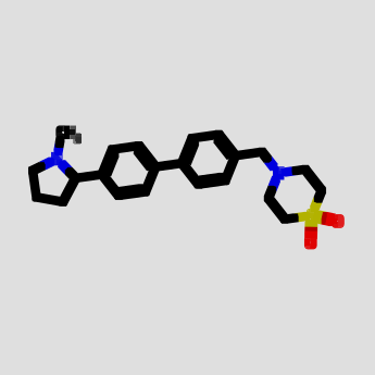 CN1CCCC1c1ccc(-c2ccc(CN3CCS(=O)(=O)CC3)cc2)cc1